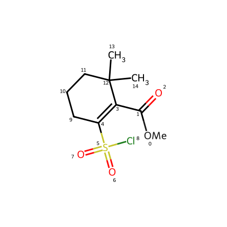 COC(=O)C1=C(S(=O)(=O)Cl)CCCC1(C)C